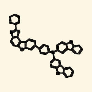 c1ccc(-c2nc3ccc4oc5cc(-c6ccc(N(c7ccc8oc9ccccc9c8c7)c7ccc8oc9ccccc9c8c7)cc6)ccc5c4c3s2)cc1